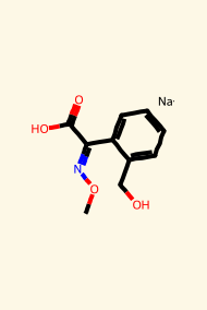 CO/N=C(/C(=O)O)c1ccccc1CO.[Na]